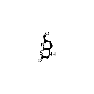 O=Cc1ccc2c(n1)SC(=O)CN2